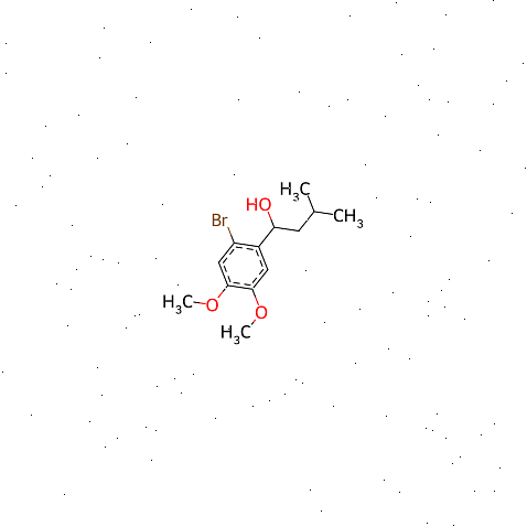 COc1cc(Br)c(C(O)CC(C)C)cc1OC